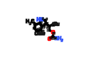 COc1ccc(C)c2[nH]cc(C(COC(N)=O)C(C)(C)C)c12